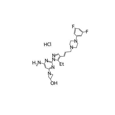 CCc1c(C=CCN2CCN(c3cc(F)cc(F)c3)CC2)cnn1-c1nc(N)cc(N2CC(O)C2)n1.Cl